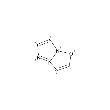 [c]1con2[c]cnc12